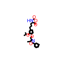 Cc1oc(-c2ccccc2)nc1COc1ccc(CCCC2NC(=O)OC2=O)cc1OC(C)C